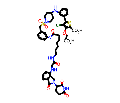 O=C(O)COc1c(C(=O)O)sc(-c2cccc(NC3CCN(S(=O)(=O)Cc4cccc(NC(=O)CCCCCCNC(=O)CNc5cccc6c5CN(C5CCC(=O)NC5=O)C6=O)c4)CC3)c2)c1Cl